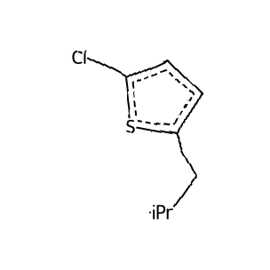 C[C](C)Cc1ccc(Cl)s1